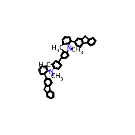 Cc1cc(-c2ccc(N(C)c3ccccc3-c3ccc4c(c3)Cc3ccccc3-4)c(C)c2)ccc1N(C)c1ccccc1-c1ccc2c(c1)Cc1ccccc1-2